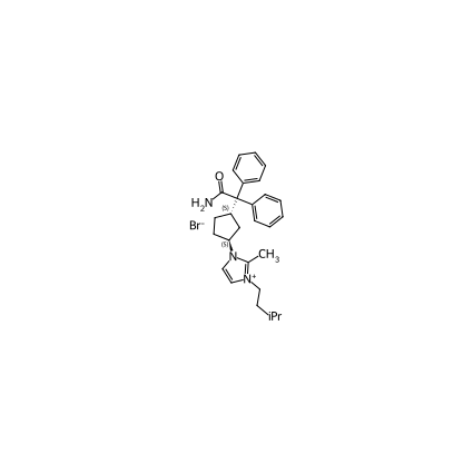 Cc1n([C@H]2CC[C@H](C(C(N)=O)(c3ccccc3)c3ccccc3)C2)cc[n+]1CCC(C)C.[Br-]